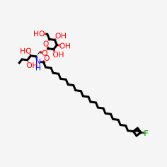 CC[C@@H](O)[C@@H](O)[C@H](COC1OC(CO)C(O)C(O)C1O)NC(=O)CCCCCCCCCCCCCCCCCCCCCCCC12CC(F)(C1)C2